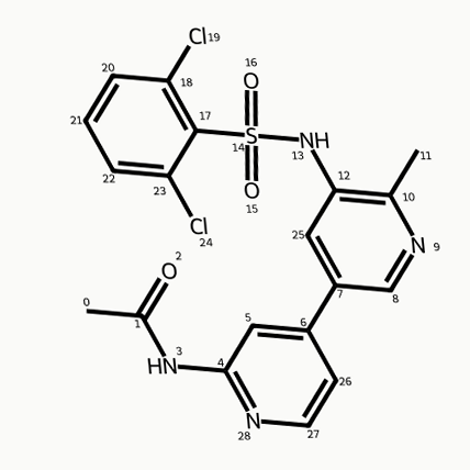 CC(=O)Nc1cc(-c2cnc(C)c(NS(=O)(=O)c3c(Cl)cccc3Cl)c2)ccn1